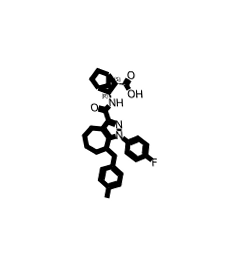 Cc1ccc(CC2CCCCc3c(C(=O)N[C@@H]4C5CCC(C5)[C@@H]4C(=O)O)nn(-c4ccc(F)cc4)c32)cc1